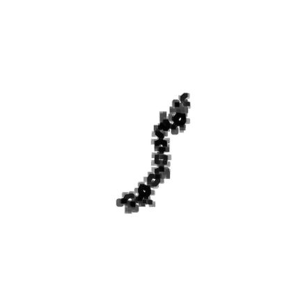 CCN(C)S(=O)(=O)Nc1ccc(F)c(C(=O)c2c[nH]c3ncc(-c4cnc(N5CCN(C(=O)CC6(O)CCN(c7ccc8c(N9CCC(=O)NC9=O)nn(C)c8c7)CC6)CC5)nc4)cc23)c1F